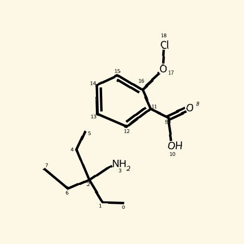 CCC(N)(CC)CC.O=C(O)c1ccccc1OCl